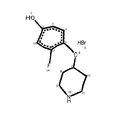 Br.Oc1ccc(OC2CCNCC2)c(F)c1